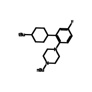 CCCCN1CCN(c2ccc(F)cc2C2CCC(C(C)(C)C)CC2)CC1